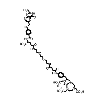 Nc1nc2ncc(CNc3ccc(C(=O)N[C@@H](CCC(=O)NCCOCCOCCNC(=O)CCC(=O)Nc4ccc(CC(CN5CCN(CC(=O)O)CCN(CC(=O)O)CC5)N(CC(=O)O)CC(=O)O)cc4)C(=O)O)cc3)nc2c(=O)[nH]1